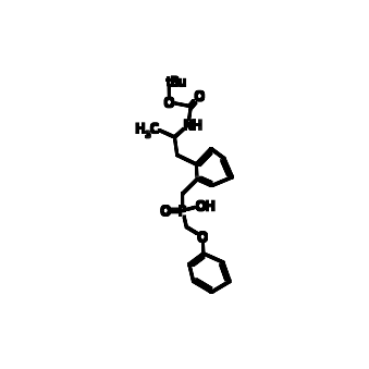 CC(Cc1ccccc1CP(=O)(O)COc1ccccc1)NC(=O)OC(C)(C)C